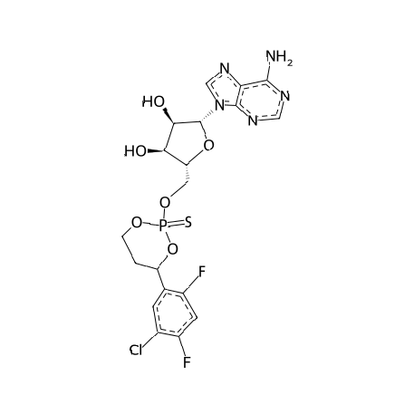 Nc1ncnc2c1ncn2[C@@H]1O[C@H](COP2(=S)OCCC(c3cc(Cl)c(F)cc3F)O2)[C@@H](O)[C@H]1O